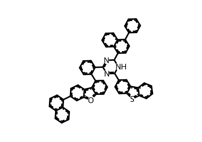 c1ccc(-c2ccc(C3N=C(c4ccccc4-c4cccc5oc6cc(-c7cccc8ccccc78)ccc6c45)N=C(c4ccc5sc6ccccc6c5c4)N3)c3ccccc23)cc1